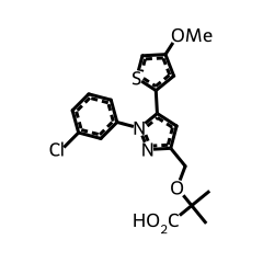 COc1csc(-c2cc(COC(C)(C)C(=O)O)nn2-c2cccc(Cl)c2)c1